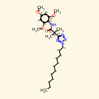 CCCCCCCCCCCCn1nnc(C(C)(C)C(=O)Nc2c(OC)cc(OC)cc2OC)n1